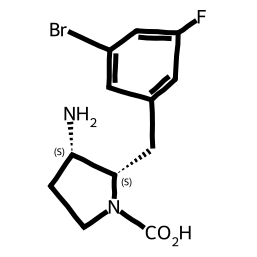 N[C@H]1CCN(C(=O)O)[C@H]1Cc1cc(F)cc(Br)c1